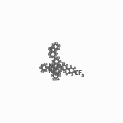 Cc1cc(C(F)(F)F)ccc1-c1ccc2c(c1)c1ccccc1n2-c1ccc(-c2ccc3sc4ccccc4c3c2)cc1-c1nc(-c2ccccc2)nc(-c2ccccc2)n1